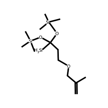 C=C(C)COCCC([SiH3])(O[Si](C)(C)C)O[Si](C)(C)C